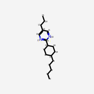 CCCCCC1CCC(c2ncc(CCC)cn2)CC1